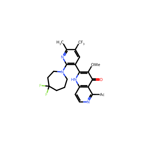 COc1c(-c2cc(C(F)(F)F)c(C)nc2N2CCCC(F)(F)CC2)[nH]c2ccnc(C(C)=O)c2c1=O